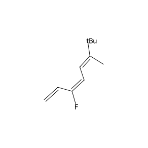 C=C/C(F)=C\C=C(/C)C(C)(C)C